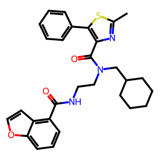 Cc1nc(C(=O)N(CCNC(=O)c2cccc3occc23)CC2CCCCC2)c(-c2ccccc2)s1